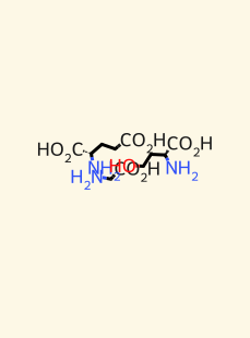 NCC(=O)O.N[C@@H](CCC(=O)O)C(=O)O.N[C@@H](CCO)C(=O)O